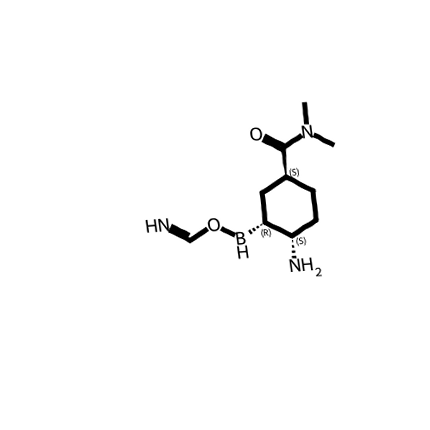 CN(C)C(=O)[C@H]1CC[C@H](N)[C@H](BOC=N)C1